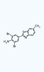 Cc1ccc2nc(-c3cc(Br)c(N)c(Br)c3)sc2c1